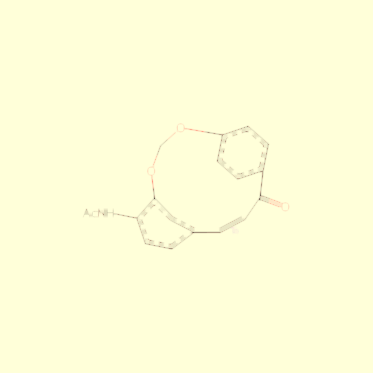 CC(=O)Nc1ccc2cc1OCOc1ccc(cc1)C(=O)/C=C\2